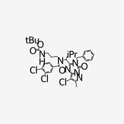 Cc1nn2c(=O)n(Cc3ccccc3)c(C(C(C)C)N(CCCNC(=O)OC(C)(C)C)C(=O)c3ccc(Cl)c(Cl)c3)nc2c1Cl